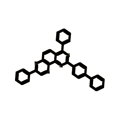 c1ccc(-c2ccc(-c3nc(-c4ccccc4)c4ccc5nc(-c6ccccc6)cnc5c4n3)cc2)cc1